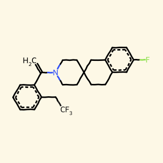 C=C(c1ccccc1CC(F)(F)F)N1CCC2(CCc3cc(F)ccc3C2)CC1